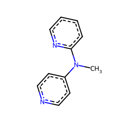 CN(c1ccncc1)c1ccccn1